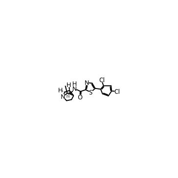 C[C@H]1[C@H](NC(=O)c2ncc(-c3ccc(Cl)cc3Cl)s2)C2CCN1CC2